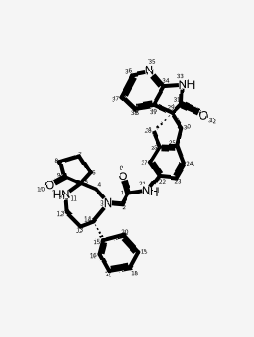 O=C(CN1CC2(CCCC2=O)NCC[C@H]1c1ccccc1)Nc1ccc2c(c1)C[C@@]1(C2)C(=O)Nc2ncccc21